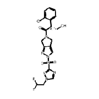 O=C([C@@H](CO)c1ccccc1Cl)N1Cc2cn(S(=O)(=O)c3ncn(CC(F)F)n3)nc2C1